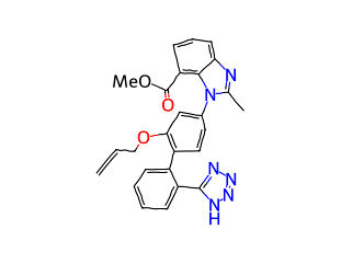 C=CCOc1cc(-n2c(C)nc3cccc(C(=O)OC)c32)ccc1-c1ccccc1-c1nnn[nH]1